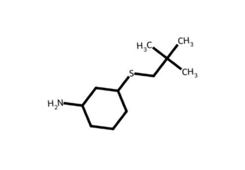 CC(C)(C)CSC1CCCC(N)C1